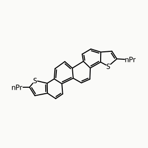 CCCc1cc2ccc3c4ccc5c(ccc6cc(CCC)sc65)c4ccc3c2s1